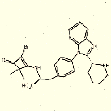 CC1(C)C(=O)C(Br)=C1N[C@@H](Cc1ccc(-n2c([C@H]3CCCCN3)nc3cccnc32)cc1)C(=O)O